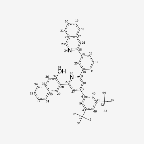 CC(C)(C)c1cc(-c2cc(-c3cccc(-c4cc5ccccc5cn4)c3)nc(-c3cc4ccccc4cc3O)c2)cc(C(C)(C)C)c1